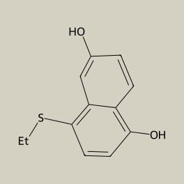 CCSc1ccc(O)c2ccc(O)cc12